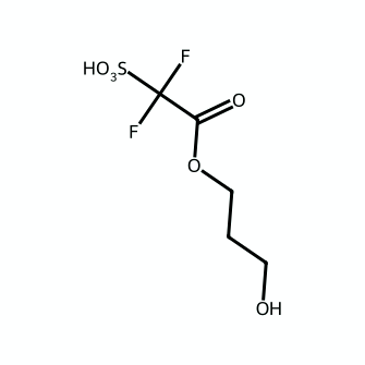 O=C(OCCCO)C(F)(F)S(=O)(=O)O